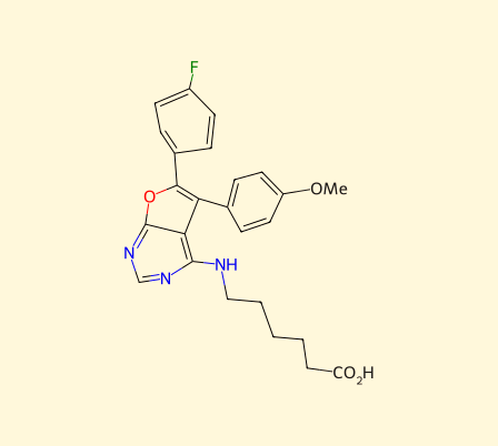 COc1ccc(-c2c(-c3ccc(F)cc3)oc3ncnc(NCCCCCC(=O)O)c23)cc1